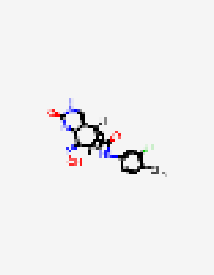 O=C(Nc1ccc(C(F)(F)F)c(Cl)c1)C1[C@@H]2CC[C@H]1c1c[nH]c(=O)nc1/C2=N/O